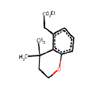 CCOC(=O)Cc1cccc2c1C(C)(C)CCO2